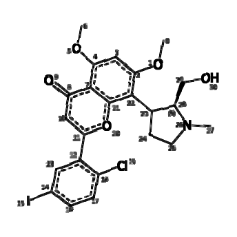 COc1cc(OC)c2c(=O)cc(-c3cc(I)ccc3Cl)oc2c1C1CCN(C)[C@@H]1CO